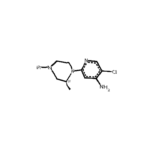 CC(C)N1CCN(c2cc(N)c(Cl)cn2)[C@@H](C)C1